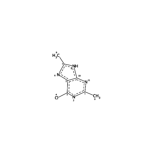 Cc1nc(Cl)c2nc(C)[nH]c2n1